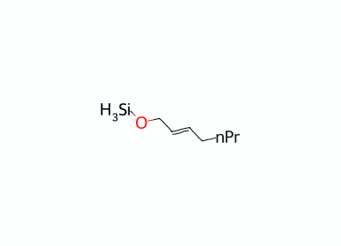 CCCCC=CCO[SiH3]